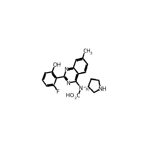 Cc1ccc2c(N(C(=O)O)[C@@H]3CCNC3)nc(-c3c(O)cccc3F)nc2c1